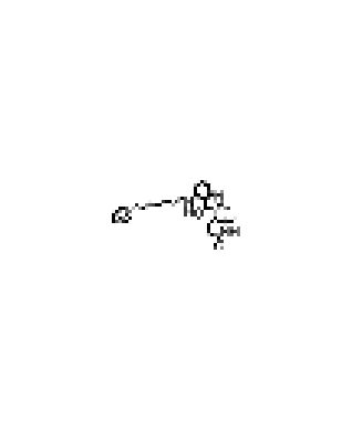 Cc1nc2cccc(NCCCCCCCN3CC4CC(C3)O4)c2c(=O)n1C1CCC(=O)NC1=O